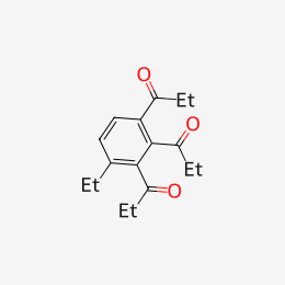 [CH2]Cc1ccc(C(=O)CC)c(C(=O)CC)c1C(=O)CC